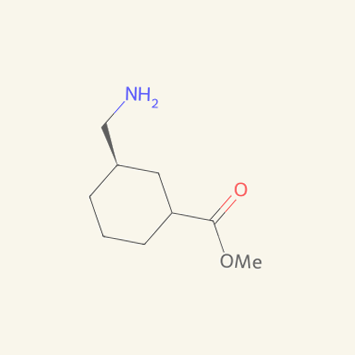 COC(=O)C1CCC[C@@H](CN)C1